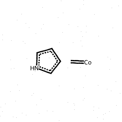 [CH2]=[Co].c1cc[nH]c1